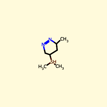 CC1CC([SH](C)C)CN=N1